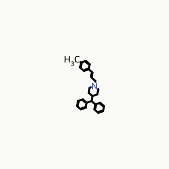 Cc1ccc(C=CCN2CCC(C(c3ccccc3)c3ccccc3)CC2)cc1